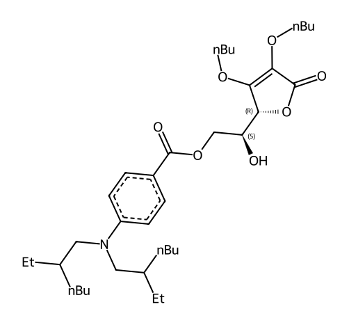 CCCCOC1=C(OCCCC)[C@@H]([C@@H](O)COC(=O)c2ccc(N(CC(CC)CCCC)CC(CC)CCCC)cc2)OC1=O